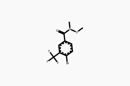 CON(C)C(=O)c1ccc(Br)c(C(F)(F)F)c1